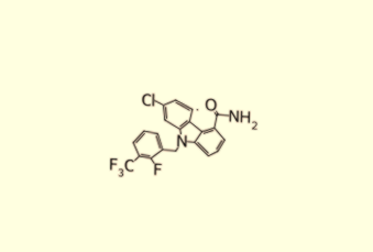 NC(=O)c1cccc2c1c1[c]cc(Cl)cc1n2Cc1cccc(C(F)(F)F)c1F